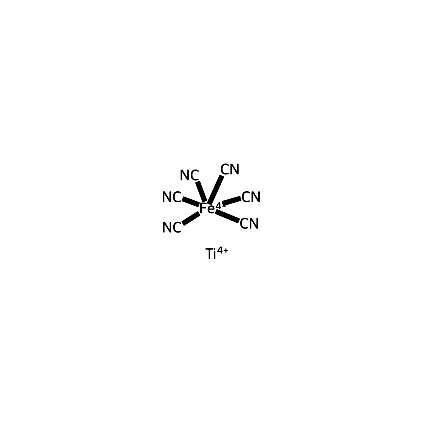 N#[C][Fe-4]([C]#N)([C]#N)([C]#N)([C]#N)[C]#N.[Ti+4]